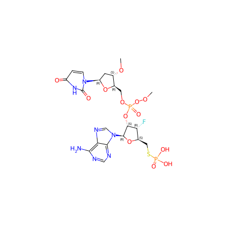 COOP(=O)(OC[C@H]1O[C@@H](n2ccc(=O)[nH]c2=O)C[C@@H]1OC)O[C@@H]1[C@H](F)[C@@H](CSP(=O)(O)O)O[C@H]1n1cnc2c(N)ncnc21